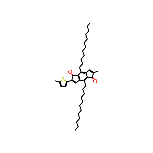 CCCCCCCCCCCCc1c2cc(-c3ccc(C)s3)c(=O)c2c(CCCCCCCCCCCC)c2cc(C)c(=O)c12